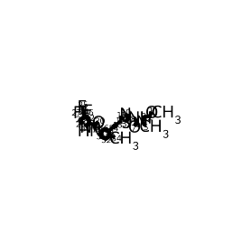 COCCN(C)C(=O)Nc1ncc(C#Cc2cc(NC(=O)c3cc(C(F)(F)F)ccn3)ccc2C)s1